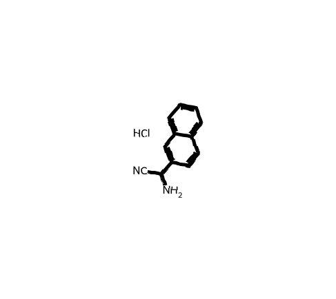 Cl.N#CC(N)c1ccc2ccccc2c1